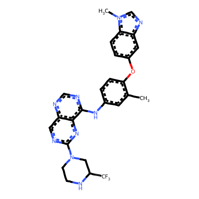 Cc1cc(Nc2ncnc3cnc(N4CCNC(C(F)(F)F)C4)nc23)ccc1Oc1ccc2c(c1)ncn2C